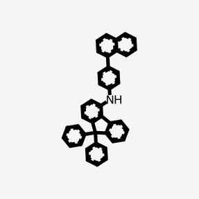 c1ccc(C2(c3ccccc3)c3ccccc3-c3c(Nc4ccc(-c5cccc6ccccc56)cc4)cccc32)cc1